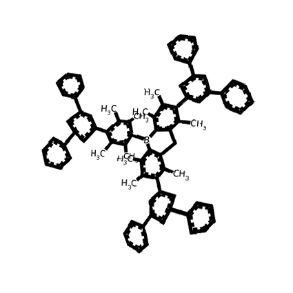 Cc1c(C)c(-c2cc(-c3ccccc3)cc(-c3ccccc3)c2)c(C)c(C)c1B1c2c(C)c(C)c(-c3cc(-c4ccccc4)cc(-c4ccccc4)c3)c(C)c2Cc2c(C)c(-c3cc(-c4ccccc4)cc(-c4ccccc4)c3)c(C)c(C)c21